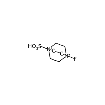 O=S(=O)(O)[N+]12CC[N+](F)(CC1)CC2